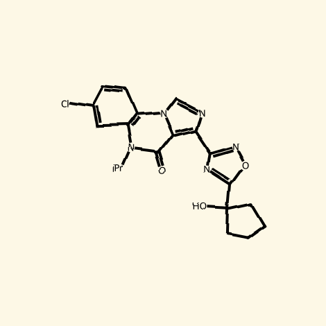 CC(C)n1c(=O)c2c(-c3noc(C4(O)CCCC4)n3)ncn2c2ccc(Cl)cc21